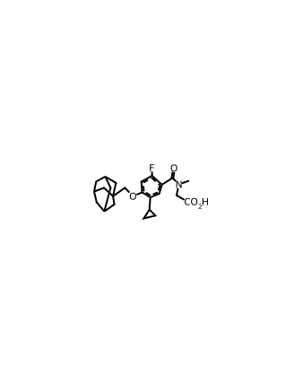 CN(CC(=O)O)C(=O)c1cc(C2CC2)c(OCC23CC4CC(CC(C4)C2)C3)cc1F